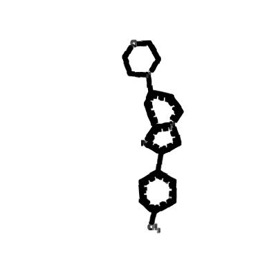 Cc1ccc(-c2cn3ccc(N4CCOCC4)cc3n2)cc1